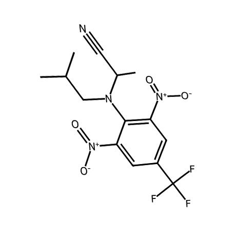 CC(C)CN(c1c([N+](=O)[O-])cc(C(F)(F)F)cc1[N+](=O)[O-])C(C)C#N